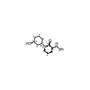 CC(C)Nc1cccn([C@@H]2CCC[C@H](O)C2)c1=O